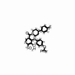 O=C(c1cnc(S(=O)(=O)O)c(Cl)c1Nc1ccc(OC(F)F)cc1)N1CCC(c2ccc(F)cc2)CC1